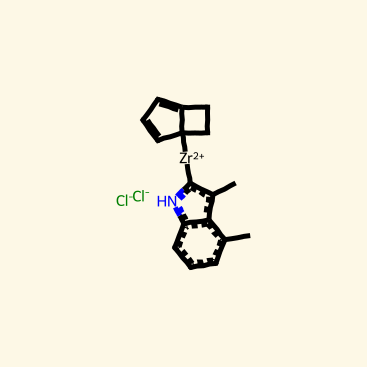 Cc1cccc2[nH][c]([Zr+2][C]34C=CC=C3CC4)c(C)c12.[Cl-].[Cl-]